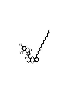 CCCCCCCCCCCCCCCc1cccc(OC(CC)C(=O)NC2=NN(c3c(Cl)cc(Cl)cc3Cl)C(=O)C2)c1